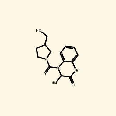 CCC(C)C1C(=O)Nc2ccccc2N1C(=O)N1CCC(CO)C1